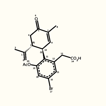 C=C(C)[C@@H]1CC(=O)C(C)=C[C@H]1c1c(CC(=O)O)cc(Br)cc1OC(C)=O